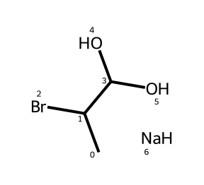 CC(Br)C(O)O.[NaH]